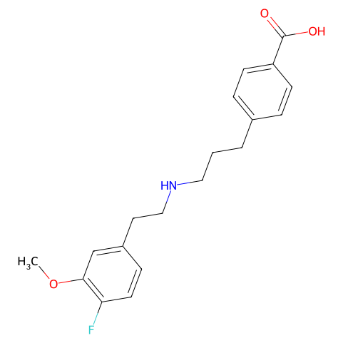 COc1cc(CCNCCCc2ccc(C(=O)O)cc2)ccc1F